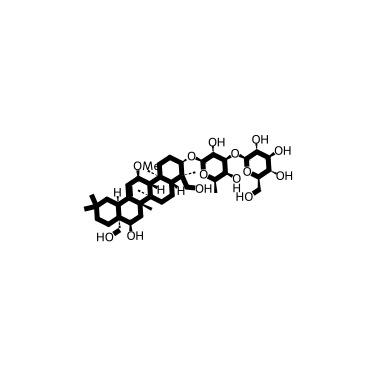 CO[C@@H]1C=C2[C@@H]3CC(C)(C)CC[C@]3(CO)[C@H](O)C[C@@]2(C)[C@]2(C)CC[C@H]3[C@](C)(CO)[C@@H](O[C@@H]4O[C@H](C)[C@H](O)[C@H](O[C@@H]5O[C@H](CO)[C@@H](O)[C@H](O)[C@H]5O)[C@H]4O)CC[C@]3(C)[C@@H]12